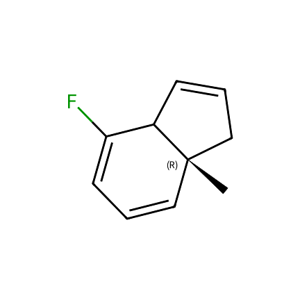 C[C@@]12C=CC=C(F)C1C=CC2